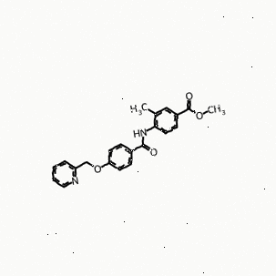 COC(=O)c1ccc(NC(=O)c2ccc(OCc3ccccn3)cc2)c(C)c1